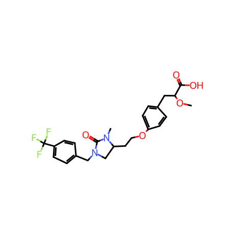 COC(Cc1ccc(OCCC2CN(Cc3ccc(C(F)(F)F)cc3)C(=O)N2C)cc1)C(=O)O